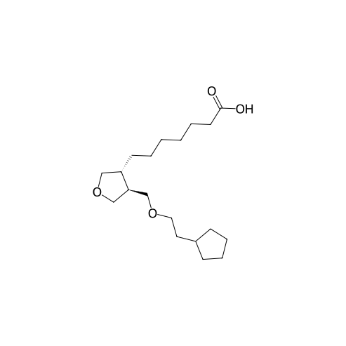 O=C(O)CCCCCC[C@H]1COC[C@@H]1COCCC1CCCC1